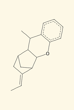 CC=C1CC2CC1C1Oc3ccccc3C(C)C21